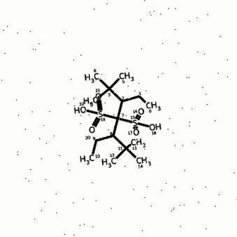 CCC(C(C)(C)C)C(C(CC)C(C)(C)C)(S(=O)(=O)O)S(=O)(=O)O